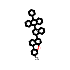 N#Cc1ccc2c(c1)Oc1ccc(-c3ccc(-c4c5ccccc5c(-c5ccccc5)c5ccccc45)c4ccccc34)c3cccc-2c13